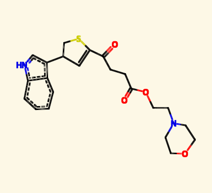 O=C(CCC(=O)C1=CC(c2c[nH]c3ccccc23)CS1)OCCN1CCOCC1